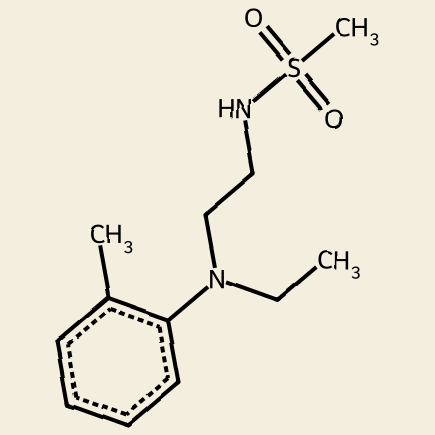 CCN(CCNS(C)(=O)=O)c1ccccc1C